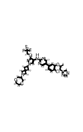 CC(Cn1cnnn1)Oc1cc(-c2cnc(Nc3cn(C4CC5(C4)CN(C4COCCOC4)C5)nc3OCC(F)(F)F)nc2)ccc1Cl